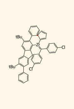 CC(C)(C)c1cc2c(cc1-c1ccccc1)Cc1c-2cc(C(C)(C)C)c(-c2ccccc2)[c]1[Zr]([C]1=CC=CC1)=[C](c1ccc(Cl)cc1)c1ccc(Cl)cc1